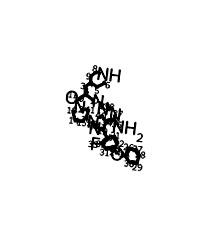 N#C/C(=C\C1CCNCC1)C(=O)N1CCC[C@@H](n2nc(-c3ccc(Oc4ccccc4)cc3F)c3c(N)ncnc32)C1